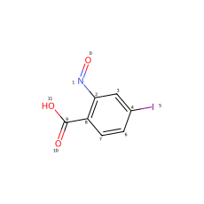 O=Nc1cc(I)ccc1C(=O)O